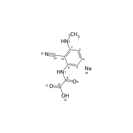 CNc1cccc(NC(=O)C(=O)O)c1C#N.[Na]